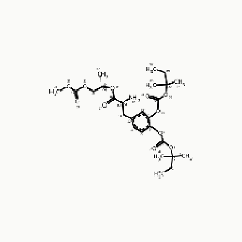 CCC(C)(C)OC(=O)Oc1ccc(C[C@H](N)C(=O)O[C@@H](C)COC(=O)OC)cc1OC(=O)OC(C)(C)CC